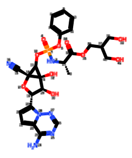 C[C@H](NP(=O)(Oc1ccccc1)OC1[C@@]2(C#N)O[C@@H](c3ccc4c(N)ncnn34)[C@H](O)[C@@]12O)C(=O)OCC(CO)CO